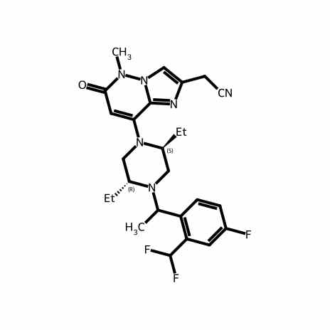 CC[C@H]1CN(C(C)c2ccc(F)cc2C(F)F)[C@H](CC)CN1c1cc(=O)n(C)n2cc(CC#N)nc12